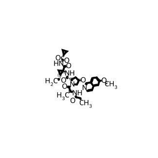 C=C[C@@H]1C[C@]1(NC(=O)[C@@H]1C[C@@H](Oc2nccc3cc(OC)ccc23)CN1C(=O)[C@@H](C)NC(=O)CC)C(=O)NS(=O)(=O)C1CC1